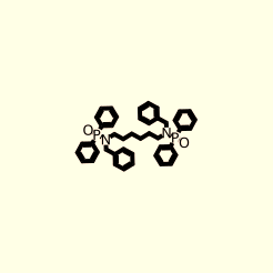 O=P(c1ccccc1)(c1ccccc1)N(CCCCCCN(Cc1ccccc1)P(=O)(c1ccccc1)c1ccccc1)Cc1ccccc1